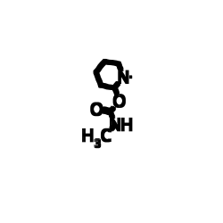 CNC(=O)OC1CCCC[N]1